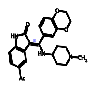 CC(=O)c1ccc2c(c1)/C(=C(\NC1CCN(C)CC1)c1ccc3c(c1)OCCO3)C(=O)N2